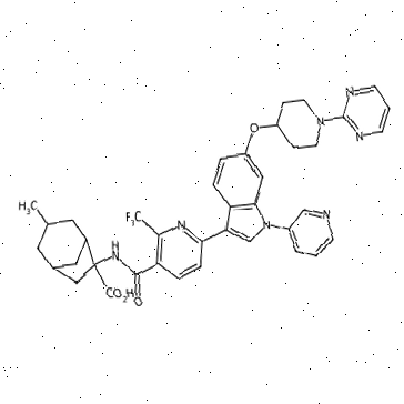 CC1CC2CC(C1)C(NC(=O)c1ccc(-c3cn(-c4cccnc4)c4cc(OC5CCN(c6ncccn6)CC5)ccc34)nc1C(F)(F)F)(C(=O)O)C2